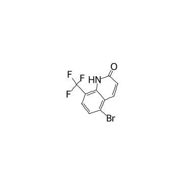 O=c1ccc2c(Br)ccc(C(F)(F)F)c2[nH]1